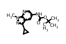 Cn1nc(C2CC2)c2cc(NC(=O)OC(C)(C)C)cnc21